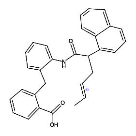 C/C=C/CC(C(=O)Nc1ccccc1Cc1ccccc1C(=O)O)c1cccc2ccccc12